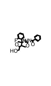 O=C(NC1=NC2(c3ccccc3F)COC(CO)C2CO1)c1ccccc1